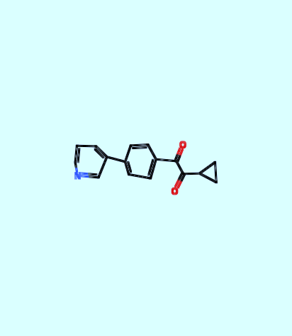 O=C(C(=O)C1CC1)c1ccc(-c2cccnc2)cc1